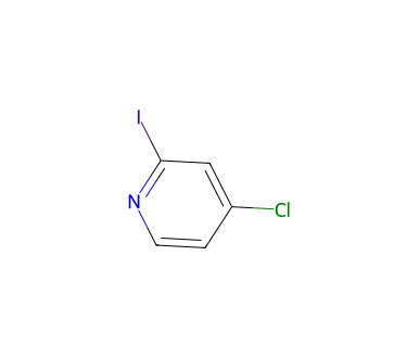 Clc1ccnc(I)c1